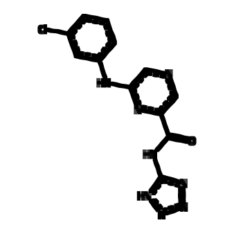 O=C(Nc1nnn[nH]1)c1cncc(Nc2cccc(Cl)c2)n1